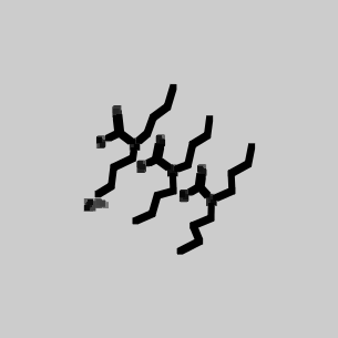 CCCCN(CCCC)C(=S)[S-].CCCCN(CCCC)C(=S)[S-].CCCCN(CCCC)C(=S)[S-].[Zr+3]